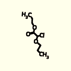 CCCOC(=O)C(Cl)OCCC